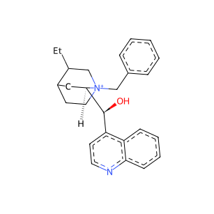 CCC1C[N+]2(Cc3ccccc3)CCC1C[C@@H]2[C@@H](O)c1ccnc2ccccc12